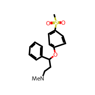 CNCCC(Oc1ccc(S(C)(=O)=O)cc1)c1ccccc1